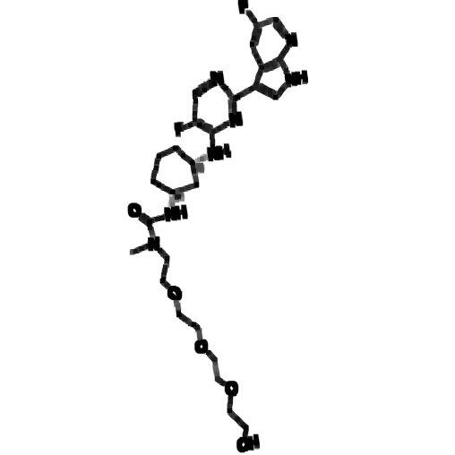 CN(CCOCCOCCOCCO)C(=O)N[C@@H]1CCC[C@H](Nc2nc(-c3c[nH]c4ncc(F)cc34)ncc2F)C1